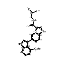 COc1ccnc2[nH]cc(-c3ccc4ncc(C(=O)NCC(F)F)n4c3)c12